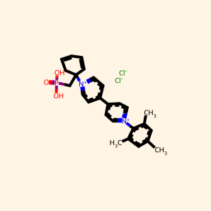 Cc1cc(C)c(-[n+]2ccc(-c3cc[n+](C4(CP(=O)(O)O)C=CC=CC4)cc3)cc2)c(C)c1.[Cl-].[Cl-]